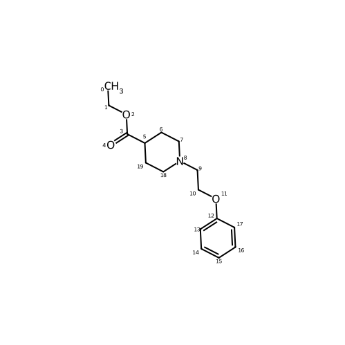 CCOC(=O)C1CCN(CCOc2ccccc2)CC1